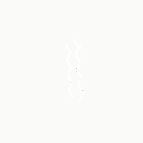 CCCCCCCC.COCCOCCOC